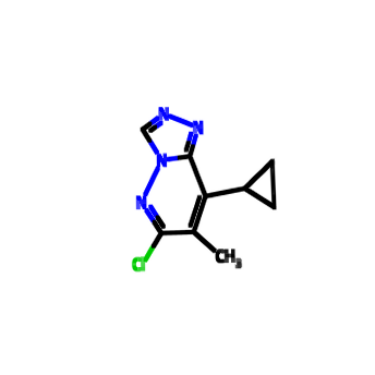 Cc1c(Cl)nn2cnnc2c1C1CC1